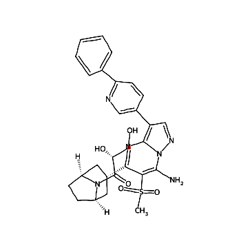 CS(=O)(=O)c1c([C@@H]2C[C@H]3CC[C@@H](C2)N3C(=O)[C@H](O)CO)nc2c(-c3ccc(-c4ccccc4)nc3)cnn2c1N